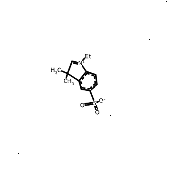 CC[N+]1=CC(C)(C)c2cc(S(=O)(=O)[O-])ccc21